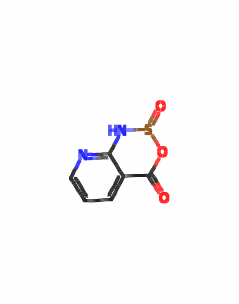 O=C1OS(=O)Nc2ncccc21